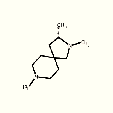 CC(C)N1CCC2(CC1)C[C@H](C)N(C)C2